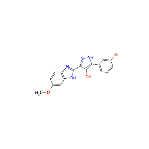 COc1ccc2nc(-c3n[nH]c(-c4cccc(Br)c4)c3O)[nH]c2c1